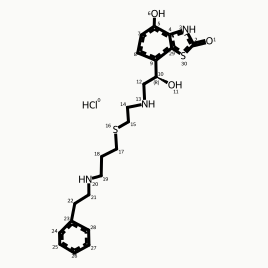 Cl.O=c1[nH]c2c(O)ccc([C@@H](O)CNCCSCCCNCCc3ccccc3)c2s1